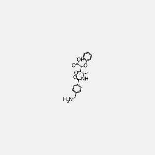 CC(NC(=O)c1ccc(CN)cc1)C(=O)C(Oc1ccccc1)C(=O)O